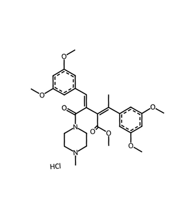 COC(=O)C(C(=Cc1cc(OC)cc(OC)c1)C(=O)N1CCN(C)CC1)=C(C)c1cc(OC)cc(OC)c1.Cl